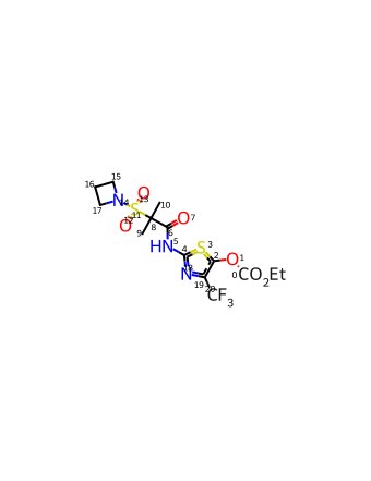 CCOC(=O)Oc1sc(NC(=O)C(C)(C)S(=O)(=O)N2CCC2)nc1C(F)(F)F